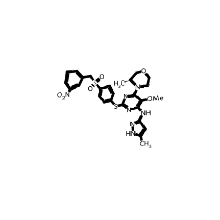 COc1c(Nc2cc(C)[nH]n2)nc(Sc2ccc(S(=O)(=O)Cc3cccc([N+](=O)[O-])c3)cc2)nc1N1CCOC[C@H]1C